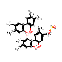 Cc1cc(O)c(-c2cc(C)c(C)cc2O)cc1C.Cc1cc(O)c(-c2cc(C)c(C)cc2O)cc1C.O=S=O